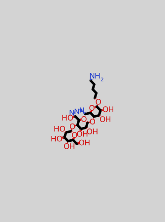 [N-]=[N+]=NCC1O[C@@H](OCCCCCN)C(O)C(O)[C@@H]1O[C@@H]1OC(CO)[C@H](O[C@H]2OC(CO)[C@H](O)C(O)C2O)C(O)C1O